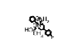 CC(O)COC(c1ccccc1)(N1CC=C(c2ccc(F)cc2)CC1)S(N)(=O)=O